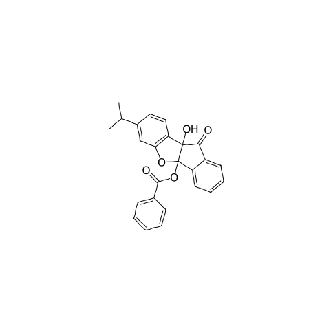 CC(C)c1ccc2c(c1)OC1(OC(=O)c3ccccc3)c3ccccc3C(=O)C21O